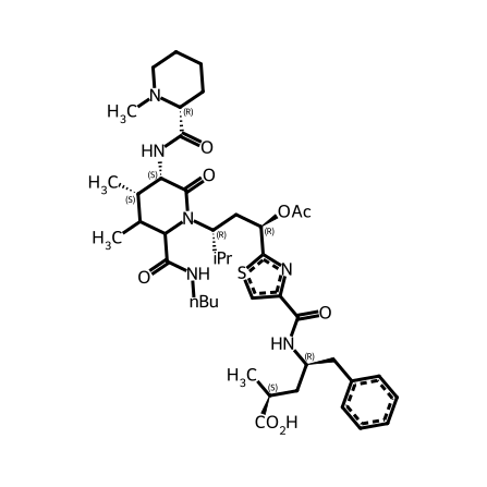 CCCCNC(=O)C1C(C)[C@H](C)[C@H](NC(=O)[C@H]2CCCCN2C)C(=O)N1[C@H](C[C@@H](OC(C)=O)c1nc(C(=O)N[C@@H](Cc2ccccc2)C[C@H](C)C(=O)O)cs1)C(C)C